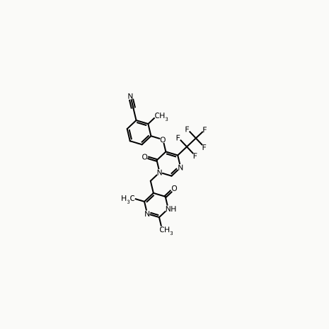 Cc1nc(C)c(Cn2cnc(C(F)(F)C(F)(F)F)c(Oc3cccc(C#N)c3C)c2=O)c(=O)[nH]1